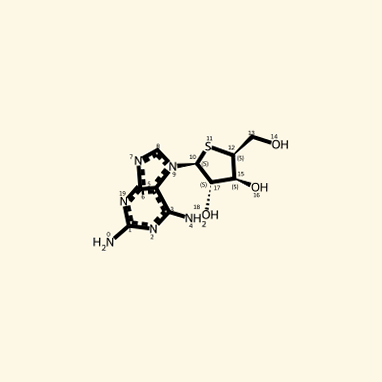 Nc1nc(N)c2c(ncn2[C@H]2S[C@@H](CO)[C@@H](O)[C@@H]2O)n1